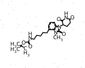 Cn1c(=O)n(C2CCC(=O)NC2=O)c2cccc(CCCCCNC(=O)OC(C)(C)C)c21